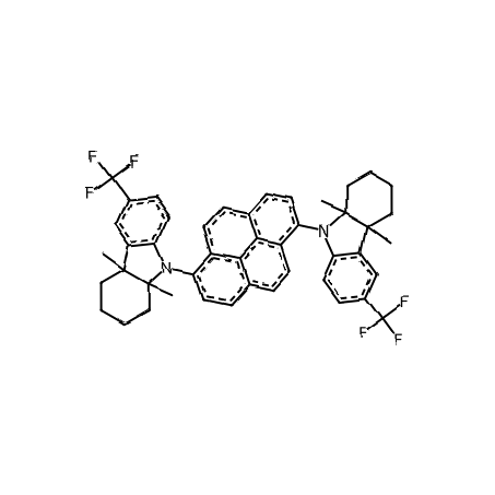 CC12CCCCC1(C)N(c1ccc3ccc4c(N5c6ccc(C(F)(F)F)cc6C6(C)CCCCC56C)ccc5ccc1c3c54)c1ccc(C(F)(F)F)cc12